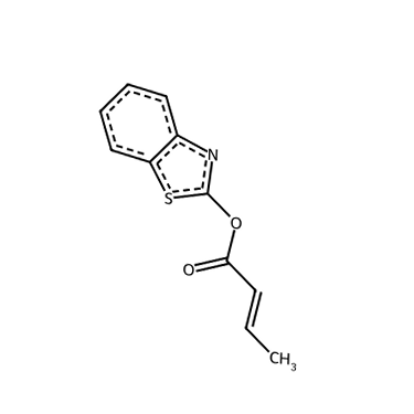 CC=CC(=O)Oc1nc2ccccc2s1